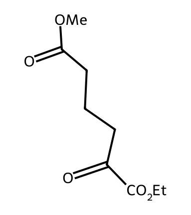 CCOC(=O)C(=O)CCCC(=O)OC